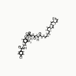 CC/C=C\C/C=C\C/C=C\C/C=C\C/C=C\C/C=C\CCC(=O)NCC(=O)CNC(=O)C(C)(C)Oc1ccc(CCNC(=O)c2ccc(Cl)cc2)cc1